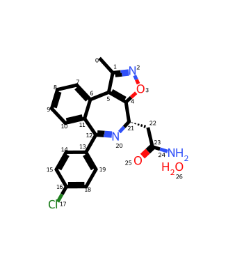 Cc1noc2c1-c1ccccc1C(c1ccc(Cl)cc1)=N[C@H]2CC(N)=O.O